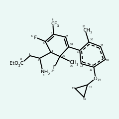 CCOC(=O)CC(N)C1C(F)=C(C(F)(F)F)C=C(c2cc(OC3CC3)ccc2C)C1(C)F